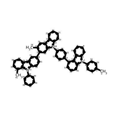 Cc1ccc(-n2c3ccccc3c3c(-c4ccc(-n5c6ccccc6c6cc(C)c(-c7ccc8c(c7)c7cccc(C)c7n8-c7ccccc7)cc65)cc4)cccc32)cc1